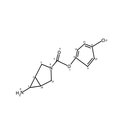 NC1C2CN(C(=O)Oc3ccc(Cl)cc3)CC12